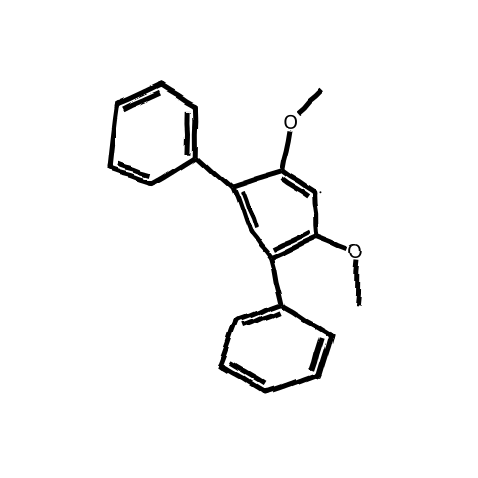 COc1[c]c(OC)c(-c2ccccc2)cc1-c1ccccc1